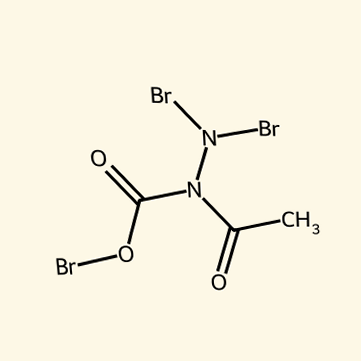 CC(=O)N(C(=O)OBr)N(Br)Br